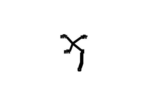 CCCC(CCC)(CCC)N=C=O